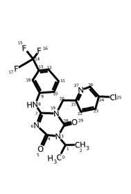 CC(C)n1c(=O)nc(Nc2cccc(C(F)(F)F)c2)n(Cc2ccc(Cl)cn2)c1=O